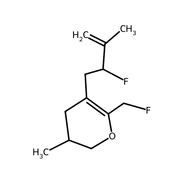 C=C(C)C(F)CC1=C(CF)OCC(C)C1